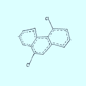 Clc1cc2c[c]cc(Cl)c2c2cc[c]cc12